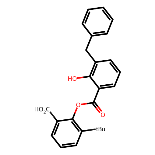 CC(C)(C)c1cccc(C(=O)O)c1OC(=O)c1cccc(Cc2ccccc2)c1O